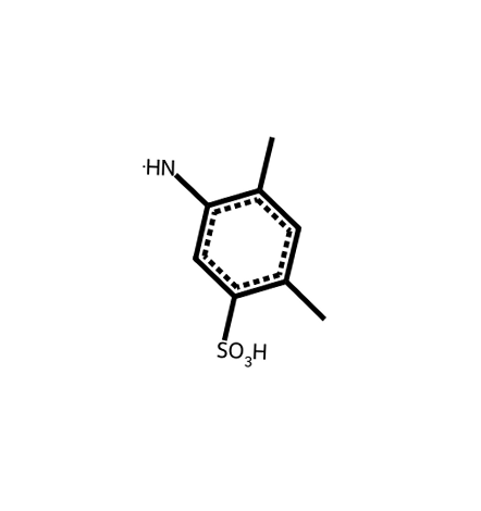 Cc1cc(C)c(S(=O)(=O)O)cc1[NH]